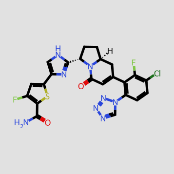 NC(=O)c1sc(-c2c[nH]c([C@@H]3CC[C@H]4CC(c5c(-n6cnnn6)ccc(Cl)c5F)=CC(=O)N43)n2)cc1F